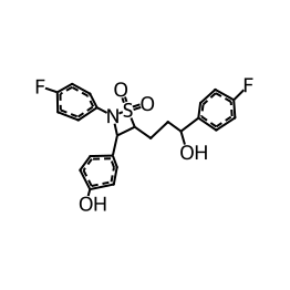 O=S1(=O)C(CCC(O)c2ccc(F)cc2)C(c2ccc(O)cc2)N1c1ccc(F)cc1